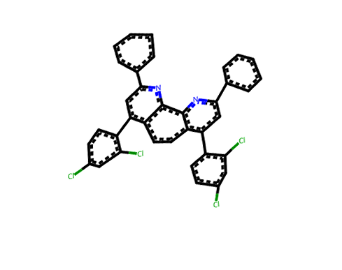 Clc1ccc(-c2cc(-c3ccccc3)nc3c2ccc2c(-c4ccc(Cl)cc4Cl)cc(-c4ccccc4)nc23)c(Cl)c1